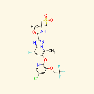 Cc1c(Oc2ncc(Cl)cc2OCC(F)(F)F)cc(F)c2nc(C(=O)NC3(C)CS(=O)(=O)C3)nn12